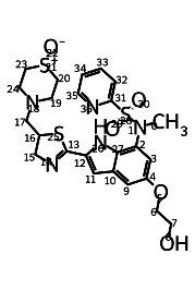 CN(c1cc(OCCO)cc2cc(C3=NCC(CN4CC[S+]([O-])CC4)S3)[nH]c12)S(=O)(=O)c1ccccn1